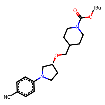 CC(C)(C)OC(=O)N1CCC(CO[C@H]2CCN(c3ccc(C#N)cc3)C2)CC1